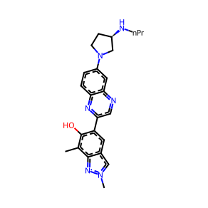 CCCN[C@@H]1CCN(c2ccc3nc(-c4cc5cn(C)nc5c(C)c4O)cnc3c2)C1